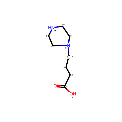 O=C(O)CCCN1CCNCC1